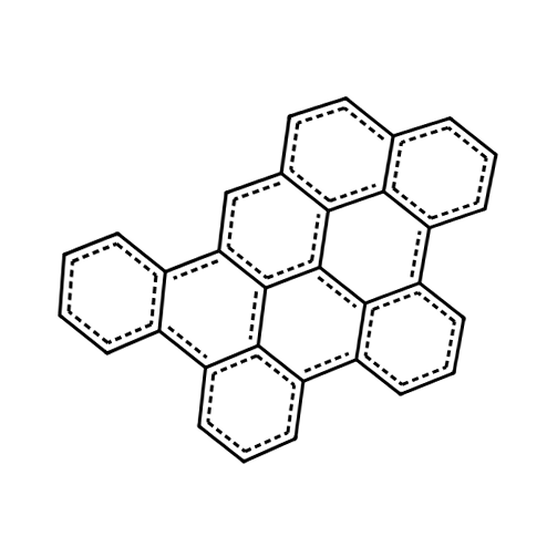 c1ccc2c(c1)c1cccc3c4cccc5c6cccc7ccc8cc2c(c13)c(c54)c8c76